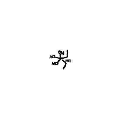 CCP(O)(O)(O)CC.Cl